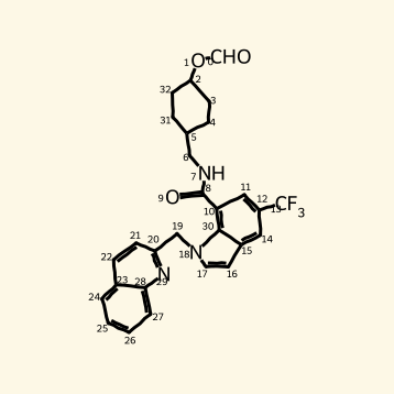 O=COC1CCC(CNC(=O)c2cc(C(F)(F)F)cc3ccn(Cc4ccc5ccccc5n4)c23)CC1